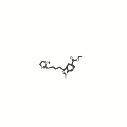 CCOC(=O)c1ccc2[nH]nc(CCCNC3=NCCN3)c2c1